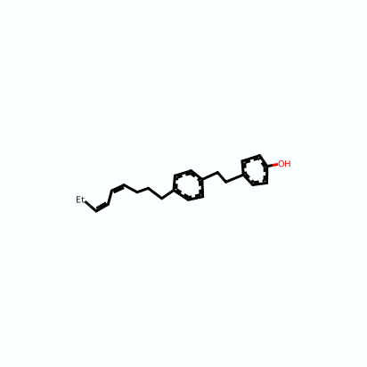 CC/C=C\C=C/CCCc1ccc(CCc2ccc(O)cc2)cc1